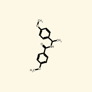 COc1ccc(C(=O)NC(C)c2ccc(OC)cc2)cc1